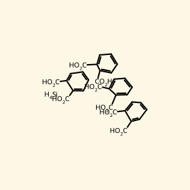 O=C(O)c1ccccc1C(=O)O.O=C(O)c1ccccc1C(=O)O.O=C(O)c1ccccc1C(=O)O.O=C(O)c1ccccc1C(=O)O.[SiH4]